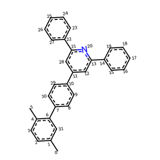 Cc1ccc(C)c(-c2ccc(-c3cc(-c4ccccc4)nc(-c4ccccc4)c3)cc2)c1